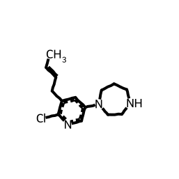 CC=CCc1cc(N2CCCNCC2)cnc1Cl